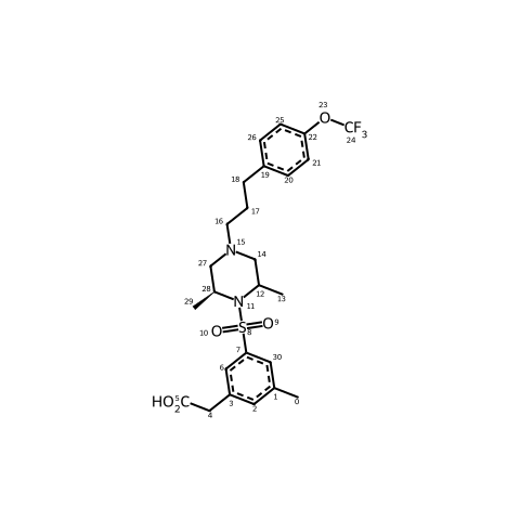 Cc1cc(CC(=O)O)cc(S(=O)(=O)N2C(C)CN(CCCc3ccc(OC(F)(F)F)cc3)C[C@@H]2C)c1